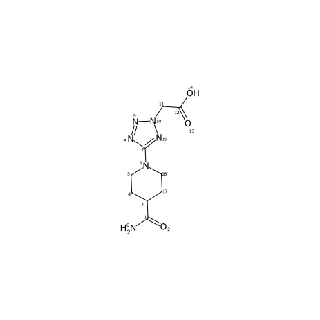 NC(=O)C1CCN(c2nnn(CC(=O)O)n2)CC1